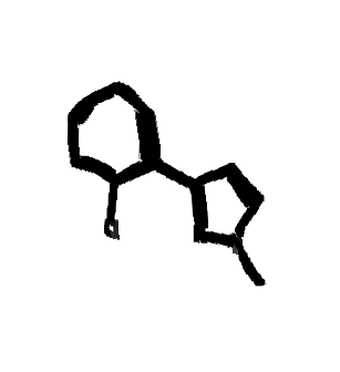 Cn1ccc(-c2ccccc2Cl)n1